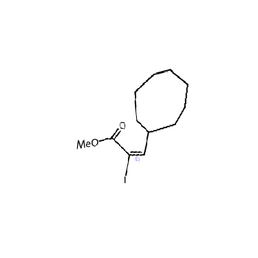 COC(=O)/C(I)=C\C1CCCCCCC1